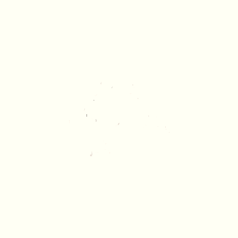 CCCC(=O)OCC=C(C)CCC=C(C)C.CCCC(=O)OCC=C(C)CCC=C(C)C